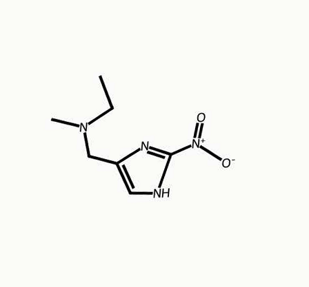 CCN(C)Cc1c[nH]c([N+](=O)[O-])n1